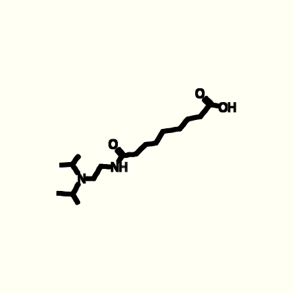 CC(C)N(CCNC(=O)CCCCCCCC(=O)O)C(C)C